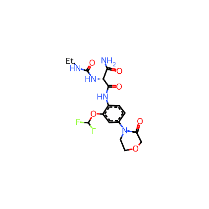 CCNC(=O)N[C@H](C(N)=O)C(=O)Nc1ccc(N2CCOCC2=O)cc1OC(F)F